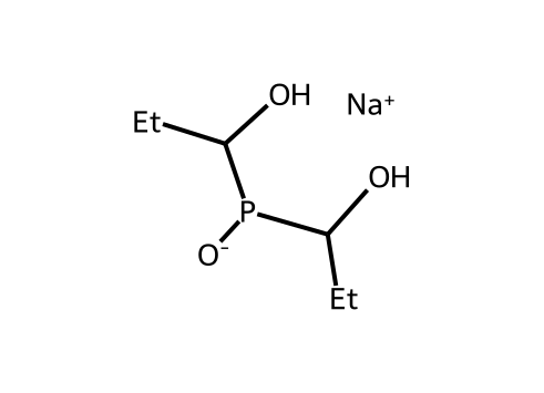 CCC(O)P([O-])C(O)CC.[Na+]